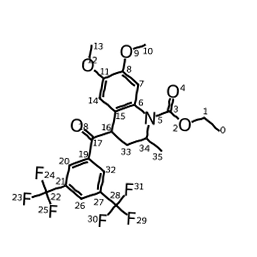 CCOC(=O)N1c2cc(OC)c(OC)cc2C(C(=O)c2cc(C(F)(F)F)cc(C(F)(F)F)c2)CC1C